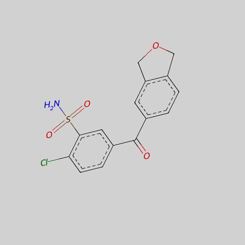 NS(=O)(=O)c1cc(C(=O)c2ccc3c(c2)COC3)ccc1Cl